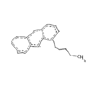 CCCCc1cccc2cc3ccccc3[c]c12